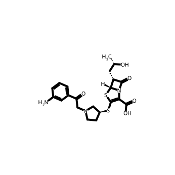 C[C@H](O)C[C@@H]1C(=O)N2C(C(=O)O)=C(S[C@H]3CCN(CC(=O)c4cccc(N)c4)C3)S[C@H]12